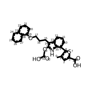 Cc1cc(C(=O)O)sc1-c1cccc2c(CCCOc3cccc4ccccc34)c(OC(=O)O)[nH]c12